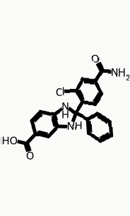 NC(=O)c1ccc(C2(c3ccccc3)Nc3ccc(C(=O)O)cc3N2)c(Cl)c1